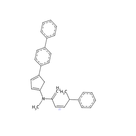 C=C(/C=C\C(C)c1ccccc1)N(C)C1=CC=C(c2ccc(-c3ccccc3)cc2)C1